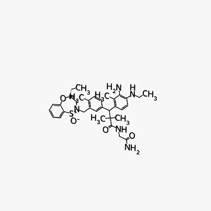 CCNc1ccc(C(c2ccc(C)c(CN3C[C@@H](CC)Oc4ccccc4[S+]3[O-])c2)C(C)(C)C(=O)NCC(N)=O)c(C)c1N